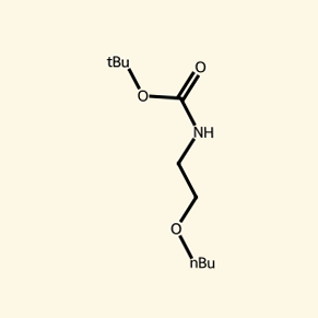 CCCCOCCNC(=O)OC(C)(C)C